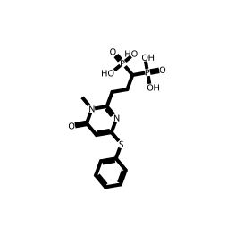 Cn1c(CCC(P(=O)(O)O)P(=O)(O)O)nc(Sc2ccccc2)cc1=O